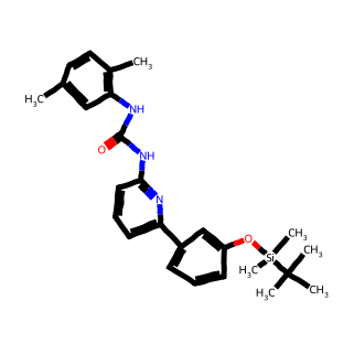 Cc1ccc(C)c(NC(=O)Nc2cccc(-c3cccc(O[Si](C)(C)C(C)(C)C)c3)n2)c1